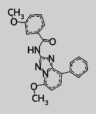 COc1cccc(C(=O)Nc2nc3c(-c4ccccc4)ccc(OC)n3n2)c1